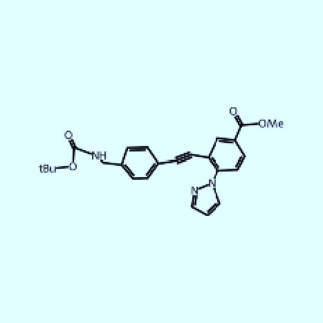 COC(=O)c1ccc(-n2cccn2)c(C#Cc2ccc(CNC(=O)OC(C)(C)C)cc2)c1